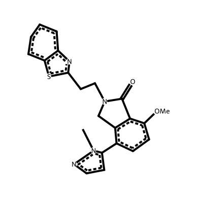 COc1ccc(-c2ccnn2C)c2c1C(=O)N(CCc1nc3ccccc3s1)C2